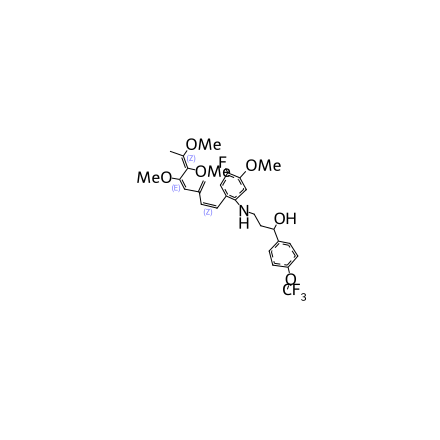 C=C(/C=C\c1cc(F)c(OC)cc1NCCC(O)c1ccc(OC(F)(F)F)cc1)/C=C(OC)\C(OC)=C(/C)OC